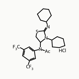 CC(=O)N(c1cc(C(F)(F)F)cc(C(F)(F)F)c1)C1CSC(=NC2CCCCC2)N1C1CCCCC1.Cl